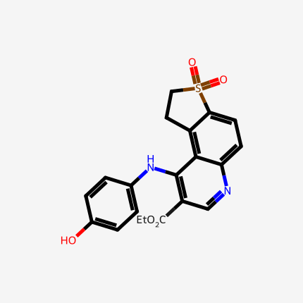 CCOC(=O)c1cnc2ccc3c(c2c1Nc1ccc(O)cc1)CCS3(=O)=O